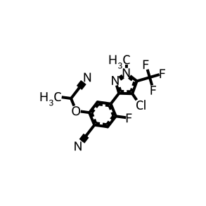 CC(C#N)Oc1cc(-c2nn(C)c(C(F)(F)F)c2Cl)c(F)cc1C#N